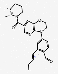 CC/C=C/c1cc(N2CCOc3cc(C(=O)N4CCCC[C@H]4C)cnc32)ccc1C=O